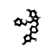 Clc1ccc(N2CCN(Cc3nc4ccc(Cl)cn4c3COCc3ccccc3)CC2)c(Cl)c1